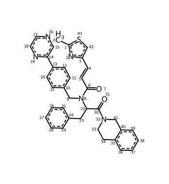 Cc1nc(C=CC(=O)N(Cc2ccc(-c3cnccn3)cc2)C(Cc2ccccc2)C(=O)N2CCc3ccccc3C2)cs1